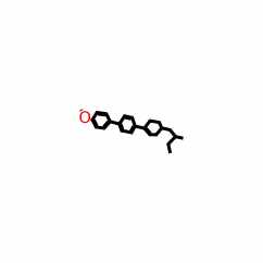 CCC(C)CC1CC=C(c2ccc(-c3ccc(OC)cc3)cc2)CC1